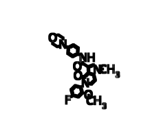 COc1cc(F)ccc1-n1ccc2c(c(C(=O)Nc3ccc(N4CCOCC4)cc3)cn2C)c1=O